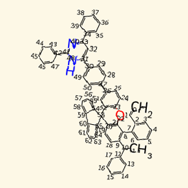 C=Cc1ccccc1-c1c(C(C)c2ccccc2)ccc2c1Oc1ccc(-c3ccc(C4=CC(c5ccccc5)=NC(c5ccccc5)N4)cc3)cc1C21c2ccccc2-c2ccccc21